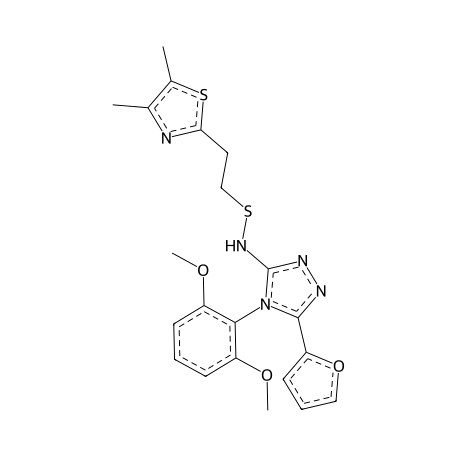 COc1cccc(OC)c1-n1c(NSCCc2nc(C)c(C)s2)nnc1-c1ccco1